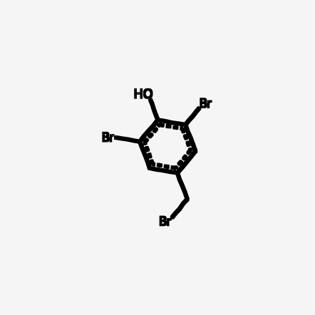 Oc1c(Br)cc(CBr)cc1Br